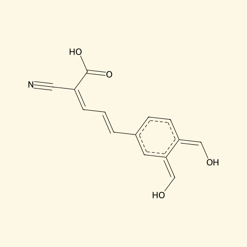 N#CC(=CC=Cc1ccc(=CO)c(=CO)c1)C(=O)O